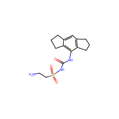 NCCS(=O)(=O)NC(=O)Nc1c2c(cc3c1CCC3)CCC2